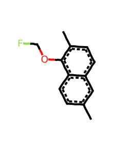 Cc1ccc2c(OCF)c(C)ccc2c1